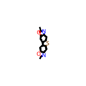 Cc1nc2cc3sc4cc5nc(C)oc5cc4c3cc2o1